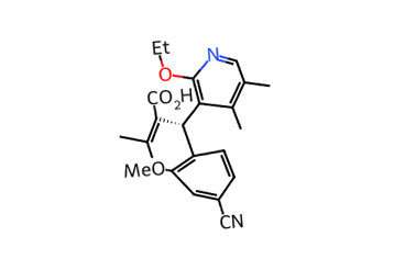 CCOc1ncc(C)c(C)c1[C@@H](C(C(=O)O)=C(C)C)c1ccc(C#N)cc1OC